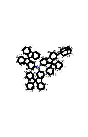 c1ccc(C2(c3ccccc3)c3ccccc3-c3ccc(N(c4ccc5c(c4)C(c4ccccc4)(c4ccccc4)c4ccccc4-5)c4ccc5c(c4)C(c4ccccc4)(c4ccccc4)c4cc(C67CC8CC(CC(C8)C6)C7)ccc4-5)cc32)cc1